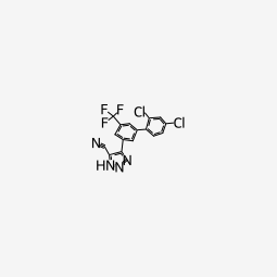 N#Cc1[nH]nnc1-c1cc(-c2ccc(Cl)cc2Cl)cc(C(F)(F)F)c1